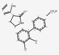 C=C.C=COC(C)=O.CC(=O)O.Clc1cccc(-c2ccccc2)c1Cl.O=C1CCCN1